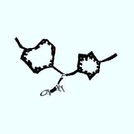 Cc1ccc(P(NN=O)c2ccc(C)cc2)cc1